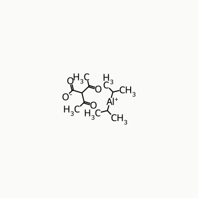 CC(=O)C(C(C)=O)C(=O)[O-].C[CH](C)[Al+][CH](C)C